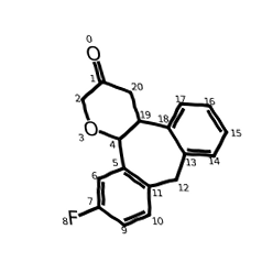 O=C1COC2c3cc(F)ccc3Cc3ccccc3C2C1